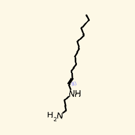 CCCCCCCCC/C=C/NCCN